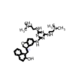 CN(C)CCNc1nc(NCCN(C)C)nc(Nc2ccc3c(c2)/C(=C/c2c(O)ccc4ccccc24)CO3)n1